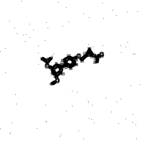 COc1cc(OC(C)C)cc(-c2ccc(OCC3CC3C(C)=O)cc2)c1